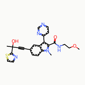 COCCNC(=O)c1c(-c2ccncn2)c2cc(C#CC(C)(O)c3nccs3)ccc2n1C